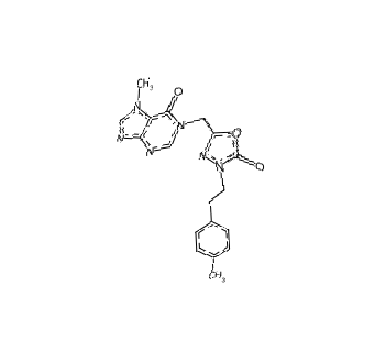 Cc1ccc(CCn2nc(Cn3cnc4ncn(C)c4c3=O)oc2=O)cc1